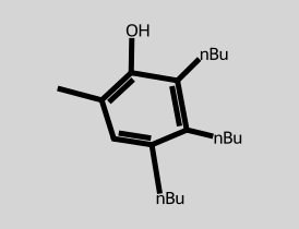 CCCCc1cc(C)c(O)c(CCCC)c1CCCC